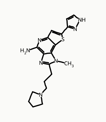 Cn1c(CCCN2CCCC2)nc2c(N)nc3cc(-c4cc[nH]n4)sc3c21